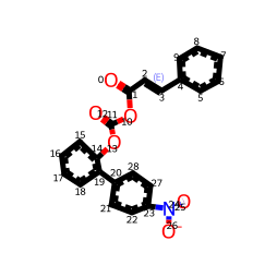 O=C(/C=C/c1ccccc1)OC(=O)Oc1ccccc1-c1ccc([N+](=O)[O-])cc1